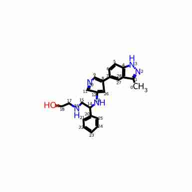 Cc1n[nH]c2ccc(-c3cncc(NC(CNCCO)c4ccccc4)c3)cc12